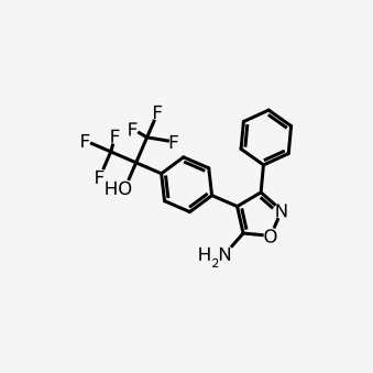 Nc1onc(-c2ccccc2)c1-c1ccc(C(O)(C(F)(F)F)C(F)(F)F)cc1